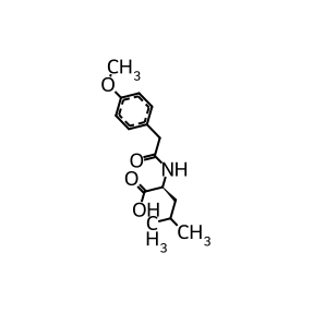 COc1ccc(CC(=O)N[C@@H](CC(C)C)C(=O)O)cc1